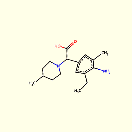 CCc1cc(C(C(=O)O)N2CCC(C)CC2)cc(C)c1N